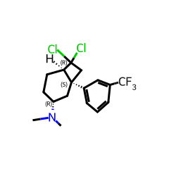 CN(C)[C@@H]1CC[C@H]2C(Cl)(Cl)C[C@@]2(c2cccc(C(F)(F)F)c2)C1